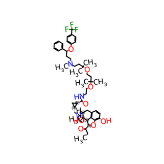 CCC(=O)[C@@H]1Oc2c(O)ccc3c2[C@@]12CCN(C[C@@H]1C[C@H]1C(=O)NCCOC(C)(C)CCOC(C)(C)CCN(C)CCC(Oc1ccc(C(F)(F)F)cc1)c1ccccc1)[C@H](C3)[C@@]2(C)O